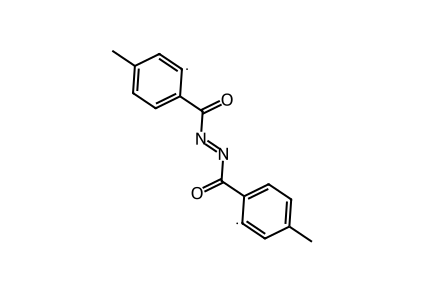 Cc1c[c]c(C(=O)N=NC(=O)c2[c]cc(C)cc2)cc1